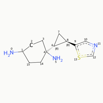 NC1CCC(N)([C@@H]2C[C@H]2c2cncs2)CC1